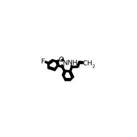 C=CC[C@H](N)c1ccccc1-c1noc2cc(F)ccc12